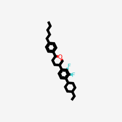 CCCCCc1ccc(C2CCC(c3ccc(C4CCC(CC)CC4)c(F)c3F)CO2)cc1